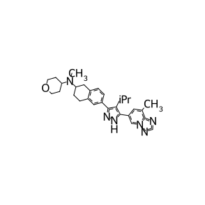 Cc1cc(-c2[nH]nc(-c3ccc4c(c3)CCC(N(C)C3CCOCC3)C4)c2C(C)C)cn2ncnc12